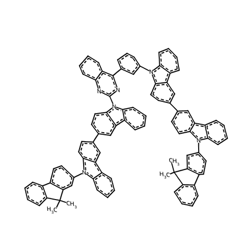 CC1(C)c2ccccc2-c2ccc(-n3c4ccccc4c4cc(-c5ccc6c(c5)c5ccccc5n6-c5cccc(-c6nc(-n7c8ccccc8c8cc(-c9ccc%10c(c9)c9ccccc9n%10-c9ccc%10c(c9)C(C)(C)c9ccccc9-%10)ccc87)nc7ccccc67)c5)ccc43)cc21